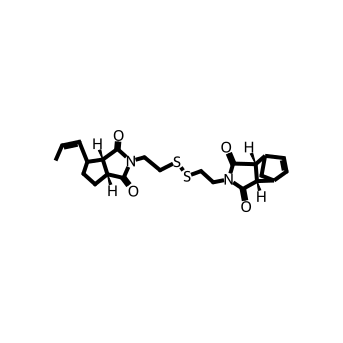 C/C=C\C1CC[C@H]2C(=O)N(CCSSCCN3C(=O)[C@@H]4C5C=CC(C5)[C@@H]4C3=O)C(=O)[C@@H]12